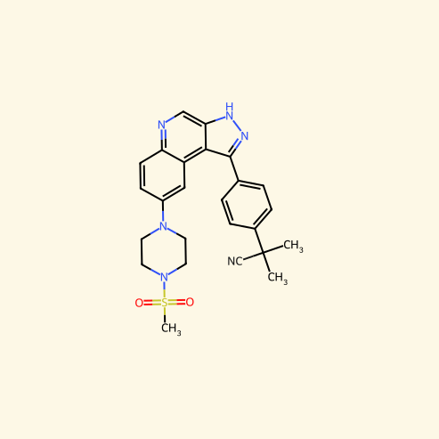 CC(C)(C#N)c1ccc(-c2n[nH]c3cnc4ccc(N5CCN(S(C)(=O)=O)CC5)cc4c23)cc1